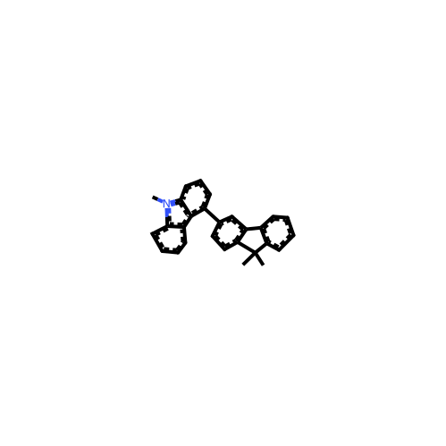 Cn1c2ccccc2c2c(-c3ccc4c(c3)-c3ccccc3C4(C)C)cccc21